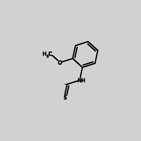 COc1ccccc1N[C]=S